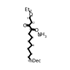 CCCCCCCCCCCCCCCCCC(=O)C(=O)C[CH]OCC.N